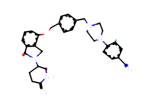 C=C1CCC(N2Cc3c(OCc4ccc(CN5CCN(c6ccc(C#N)cc6F)CC5)cc4)cccc3C2=O)C(=O)N1